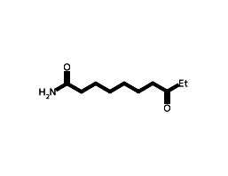 CCC(=O)CCCCCCC(N)=O